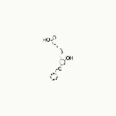 O=C(O)CCC/C=C\C[C@H]1C[C@@H](OCc2ccccc2)C[C@H]1O